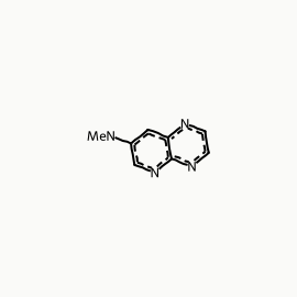 CNc1cnc2nccnc2c1